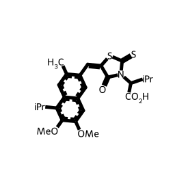 COc1cc2cc(C=C3SC(=S)N(C(C(=O)O)C(C)C)C3=O)c(C)cc2c(C(C)C)c1OC